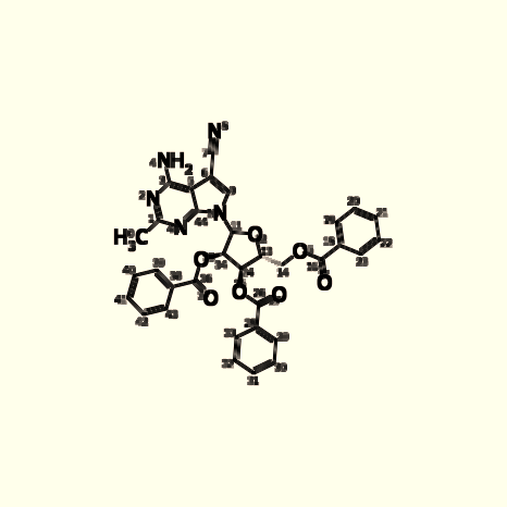 Cc1nc(N)c2c(C#N)cn(C3O[C@H](COC(=O)c4ccccc4)[C@@H](OC(=O)c4ccccc4)[C@H]3OC(=O)c3ccccc3)c2n1